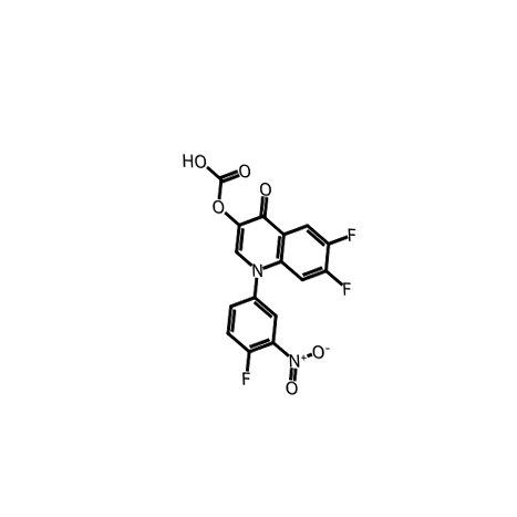 O=C(O)Oc1cn(-c2ccc(F)c([N+](=O)[O-])c2)c2cc(F)c(F)cc2c1=O